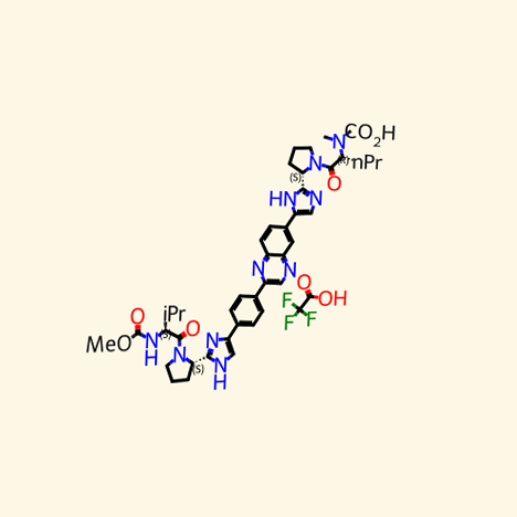 CCC[C@H](C(=O)N1CCC[C@H]1c1ncc(-c2ccc3nc(-c4ccc(-c5c[nH]c([C@@H]6CCCN6C(=O)[C@@H](NC(=O)OC)C(C)C)n5)cc4)cnc3c2)[nH]1)N(C)C(=O)O.O=C(O)C(F)(F)F